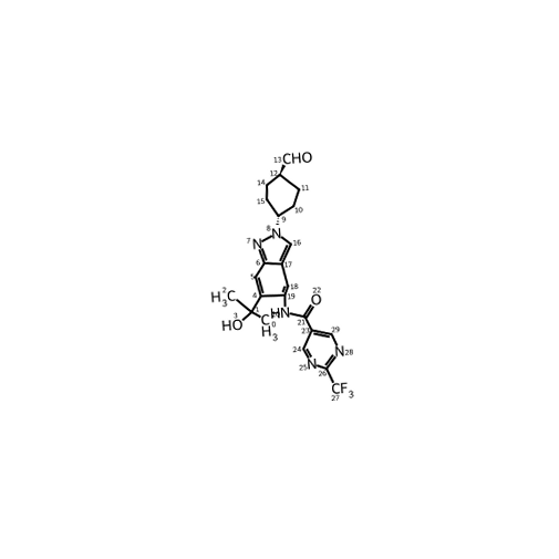 CC(C)(O)c1cc2nn([C@H]3CC[C@H](C=O)CC3)cc2cc1NC(=O)c1cnc(C(F)(F)F)nc1